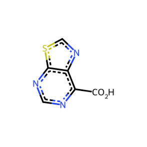 O=C(O)c1ncnc2scnc12